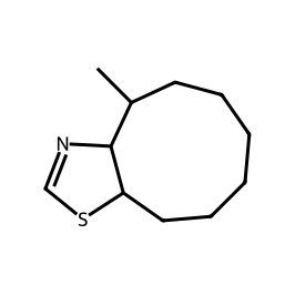 CC1CCCCCCC2SC=NC12